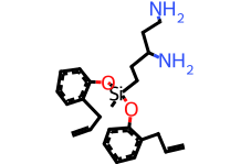 C=CCc1ccccc1O[Si](C)(CCC(N)CCN)Oc1ccccc1CC=C